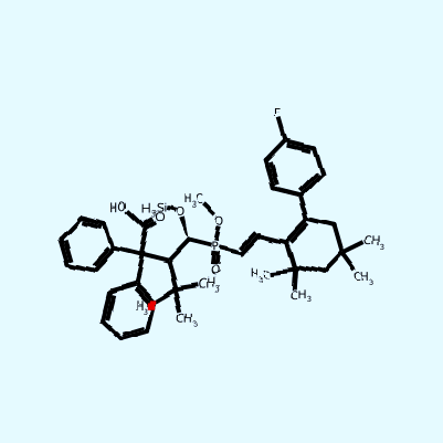 COP(=O)(C=CC1=C(c2ccc(F)cc2)CC(C)(C)CC1(C)C)[C@H](O[SiH3])C(C(C)(C)C)C(C(=O)O)(c1ccccc1)c1ccccc1